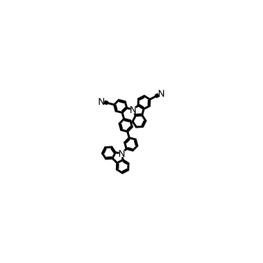 N#Cc1ccc(-n2c3c(c4cc(C#N)ccc42)C=CCC3)c(-c2ccc(-c3cccc(-n4c5ccccc5c5ccccc54)c3)cc2)c1